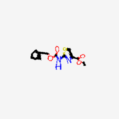 CCOC(=O)c1csc(NC(=O)OCc2ccccc2)n1